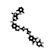 Cc1cccc(C)c1Nc1nn(C)c2nc(Nc3ccc4c(c3)CN(C3CN(CC5CN(c6ccc7c(c6)C(=O)N(C6CCC(=O)NC6=O)C7=O)C5)C3)CC4)ncc12